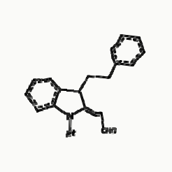 CCN1C(=CC=O)C(CCc2ccccc2)c2ccccc21